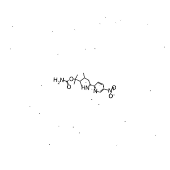 CC(CC(=N)c1ccc([N+](=O)[O-])cn1)C(C)C(C)(C)OC(N)=O